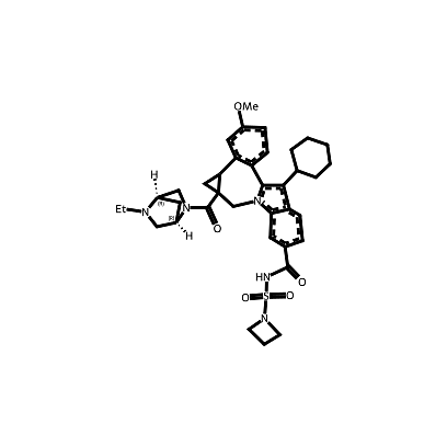 CCN1C[C@H]2C[C@@H]1CN2C(=O)C12CC1c1cc(OC)ccc1-c1c(C3CCCCC3)c3ccc(C(=O)NS(=O)(=O)N4CCC4)cc3n1C2